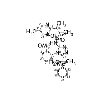 COc1cccc(OC)c1-n1c(NS(=O)(=O)[C@@H](C)[C@H](C)c2ncc(C)cn2)nnc1C(C)(C)c1ccccc1